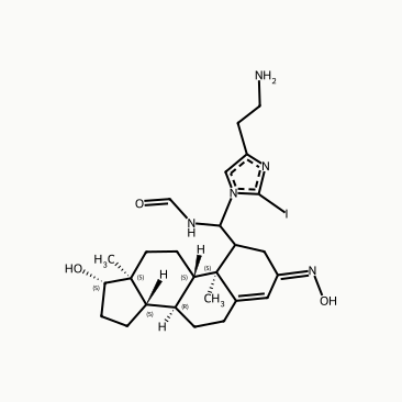 C[C@]12CC[C@H]3[C@@H](CCC4=CC(=NO)CC(C(NC=O)n5cc(CCN)nc5I)[C@@]43C)[C@@H]1CC[C@@H]2O